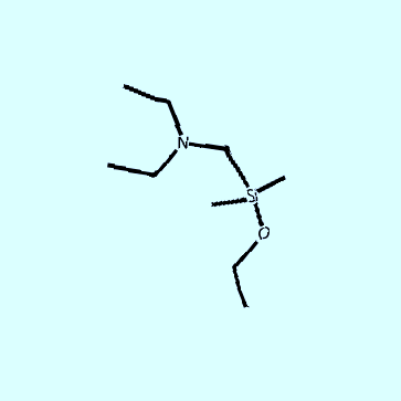 CCO[Si](C)(C)CN(CC)CC